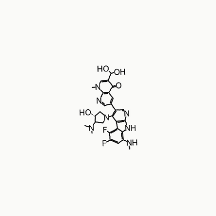 CNc1cc(F)c(F)c2c1[nH]c1ncc(-c3cnc4c(c3)c(=O)c(C(O)O)cn4C)c(N3CC(N(C)C)[C@H](O)C3)c12